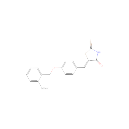 CCCCCCc1ccccc1COc1ccc(/C=C2\SC(=S)NC2=O)cc1